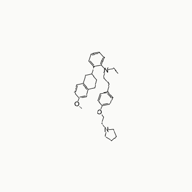 CCN(CCc1ccc(OCCN2CCCC2)cc1)c1ccccc1C1CCc2cc(OC)ccc2C1